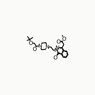 COC(=O)Cc1nn(CCN2CCN(C(=O)COC(C)(C)C)CC2)c(=O)c2ccccc12